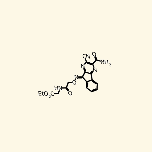 CCOC(=O)CNC(=O)CO/N=C1\c2ccccc2-c2nc(C(N)=O)c(C#N)nc21